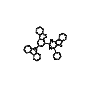 c1ccc(-c2nc(-c3cc(-n4c5ccccc5c5ccccc54)cc4c3sc3ccccc34)nc3c2sc2ccccc23)cc1